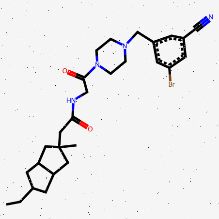 CCC1CC2CC(C)(CC(=O)NCC(=O)N3CCN(Cc4cc(Br)cc(C#N)c4)CC3)CC2C1